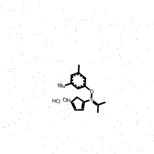 C[C](C)=[Ti]([O]c1cc(C)cc(C(C)(C)C)c1)[C]1=CC=CC1.Cl.Cl